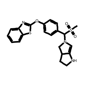 CS(=O)(=O)C(c1ccc(Oc2nc3ccccc3s2)cc1)N1C=C2NCCC2C1